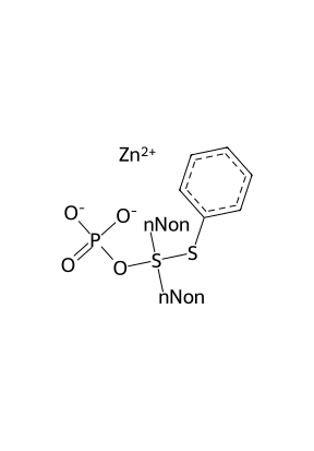 CCCCCCCCCS(CCCCCCCCC)(OP(=O)([O-])[O-])Sc1ccccc1.[Zn+2]